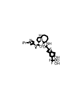 CC(C)n1cc(N(C)C(=O)[C@@H]2CC[C@@H]3CCCC[C@H](NC(=O)c4cc5cc(C(F)(F)P(=O)(O)O)ccc5s4)C(=O)N32)cn1